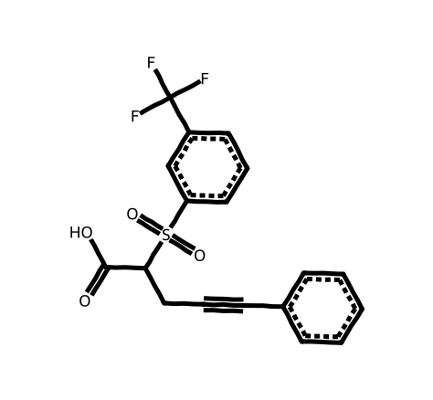 O=C(O)C(CC#Cc1ccccc1)S(=O)(=O)c1cccc(C(F)(F)F)c1